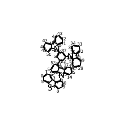 c1ccc2c(c1)sc1cccc(-n3c4ccccc4c4c(-c5cc(-n6c7ccccc7c7ccccc76)cc(-n6c7ccccc7c7ccccc76)c5)cccc43)c12